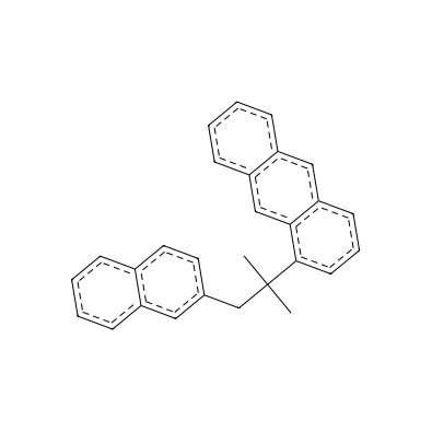 CC(C)(Cc1ccc2ccccc2c1)c1cccc2cc3ccccc3cc12